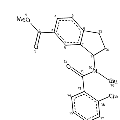 COC(=O)c1ccc2c(c1)C(N(C(=O)c1ccccc1Cl)C(C)(C)C)CC2